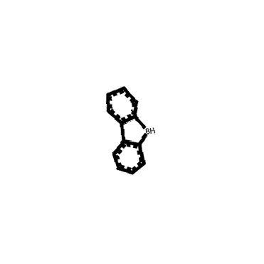 B1c2[c]cccc2-c2ccccc21